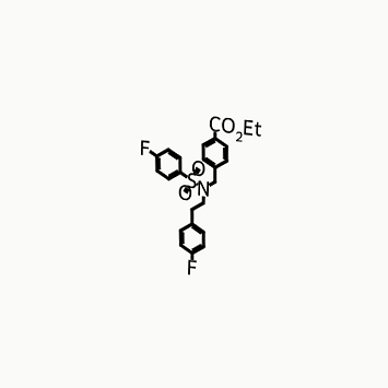 CCOC(=O)c1ccc(CN(CCc2ccc(F)cc2)S(=O)(=O)c2ccc(F)cc2)cc1